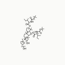 CCC(C)[C@H](NC(=O)OC(C)(C)C)C(=O)O[C@H]1CC2C3(CC[C@]4(C)[C@@H]([C@@]5(C)CC[C@@H](C(C)(C)O)O5)[C@@H](O)C[C@@]24C)C[C@@]32CC[C@H](OC(=O)[C@@H](NC(=O)OC(C)(C)C)C(C)CC)C(C)(C)C12